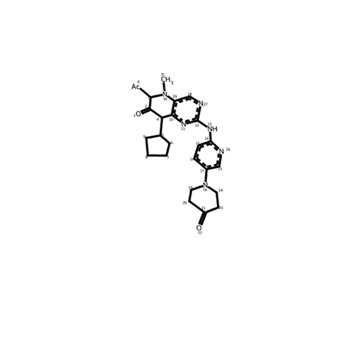 CC(=O)C1C(=O)C(C2CCCC2)c2nc(Nc3ccc(N4CCC(=O)CC4)cn3)ncc2N1C